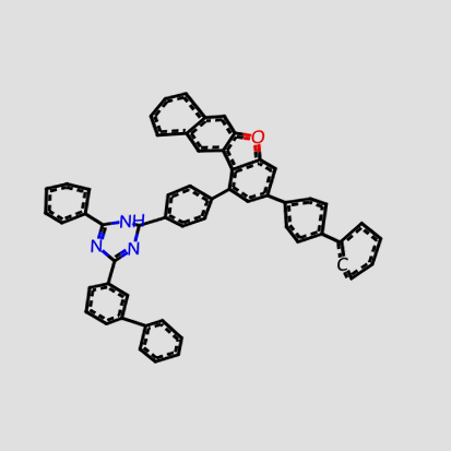 c1ccc(C2=NC(c3cccc(-c4ccccc4)c3)=NC(c3ccc(-c4cc(-c5ccc(-c6ccccc6)cc5)cc5oc6cc7ccccc7cc6c45)cc3)N2)cc1